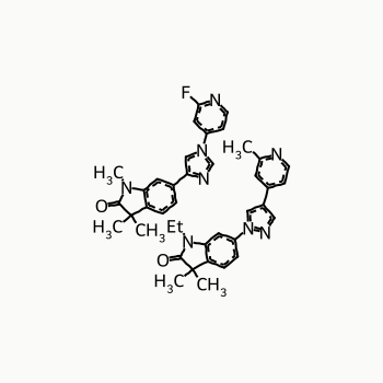 CCN1C(=O)C(C)(C)c2ccc(-n3cc(-c4ccnc(C)c4)cn3)cc21.CN1C(=O)C(C)(C)c2ccc(-c3cn(-c4ccnc(F)c4)cn3)cc21